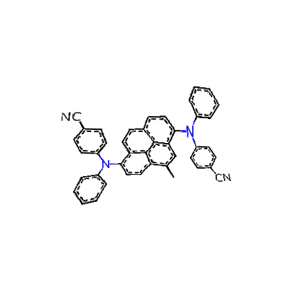 Cc1cc2c(N(c3ccccc3)c3ccc(C#N)cc3)ccc3ccc4c(N(c5ccccc5)c5ccc(C#N)cc5)ccc1c4c32